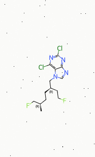 C[C@@H](CF)CC[C@H](CCF)Cn1cnc2nc(Cl)nc(Cl)c21